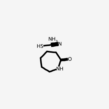 N.N#CS.O=C1CCCCCN1